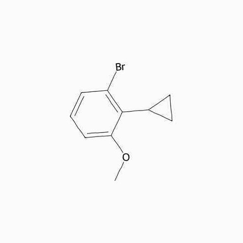 COc1cccc(Br)c1C1CC1